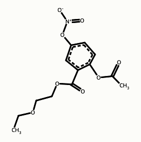 CCOCCOC(=O)c1cc(O[N+](=O)[O-])ccc1OC(C)=O